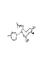 CCCn1nc(CC)c(O)c1-c1ccc(C)cc1